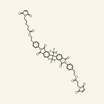 O=C(CCCCCN1C(=O)C=CC1=O)OCCc1ccc(N2C(=O)c3ccc(C(c4ccc5c(c4)C(=O)N(c4ccc(CCOC(=O)CCN6C(=O)C=CC6=O)cc4)C5=O)(C(F)(F)F)C(F)(F)F)cc3C2=O)cc1